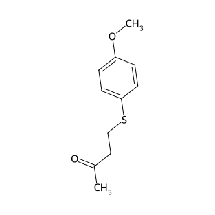 COc1ccc(SCCC(C)=O)cc1